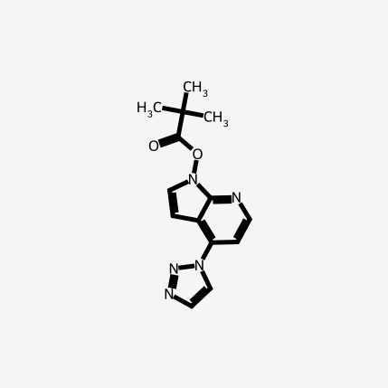 CC(C)(C)C(=O)On1ccc2c(-n3ccnn3)ccnc21